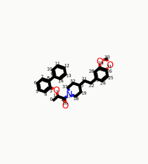 CC(Oc1ccccc1-c1ccccc1)C(=O)N1CCC(CCc2ccc3c(c2)OCO3)CC1